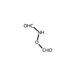 O=CNOC=O